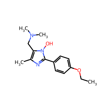 CCOc1ccc(-c2nc(C)c(CN(C)C)n2O)cc1